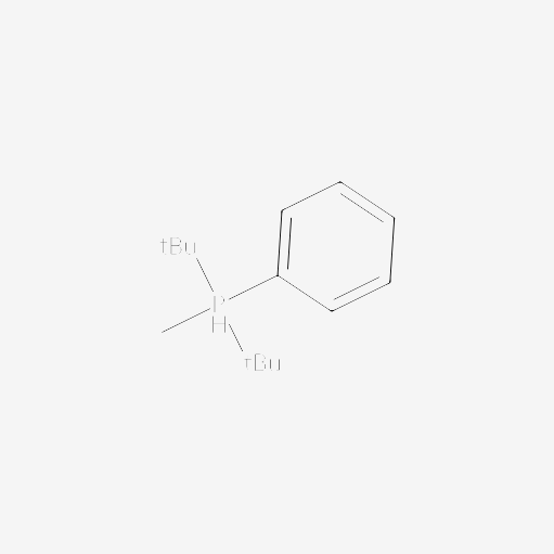 CC(C)(C)[PH](C)(c1ccccc1)C(C)(C)C